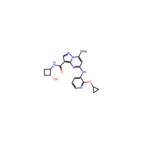 CNc1cc(Nc2cccnc2OC2CC2)nc2c(C(=O)NC3CC[C@H]3O)cnn12